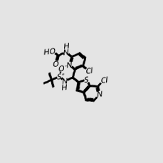 CC(C)(C)[S@@+]([O-])NC(c1cc2ccnc(Cl)c2s1)c1nc(NC(=O)O)ccc1Cl